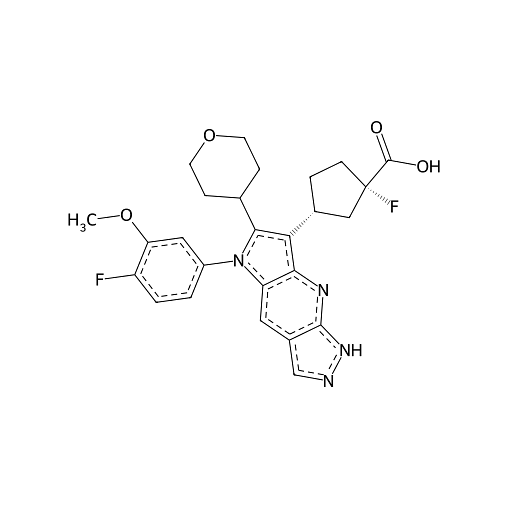 COc1cc(-n2c(C3CCOCC3)c([C@@H]3CC[C@@](F)(C(=O)O)C3)c3nc4[nH]ncc4cc32)ccc1F